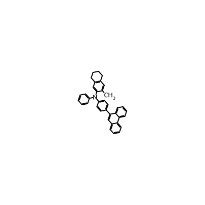 Cc1cc2c(cc1N(c1ccccc1)c1ccc(-c3cc4ccccc4c4ccccc34)cc1)CCCC2